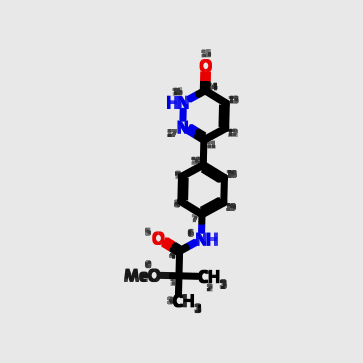 COC(C)(C)C(=O)Nc1ccc(-c2ccc(=O)[nH]n2)cc1